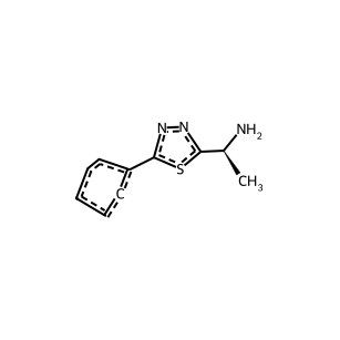 C[C@H](N)c1nnc(-c2ccccc2)s1